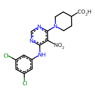 O=C(O)C1CCN(c2ncnc(Nc3cc(Cl)cc(Cl)c3)c2[N+](=O)[O-])CC1